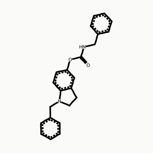 O=C(NCc1ccccc1)Oc1ccc2c(c1)CCN2Cc1ccccc1